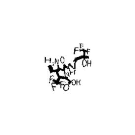 C=Cc1c(N)c(C(=O)NCC(C)(O)C(F)(F)F)nc(C(=O)O)c1C(F)(F)F